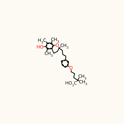 Cc1c(C)c2c(c(C)c1O)CC[C@@](C)(CCCc1cccc(OCCCC(C)(C)C(=O)O)c1)O2